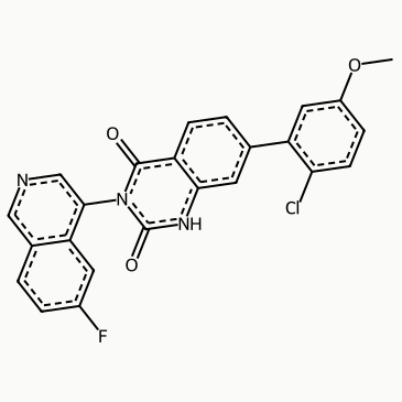 COc1ccc(Cl)c(-c2ccc3c(=O)n(-c4cncc5ccc(F)cc45)c(=O)[nH]c3c2)c1